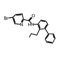 CCCc1c(NC(=O)c2ccc(Br)cn2)cccc1-c1ccccc1